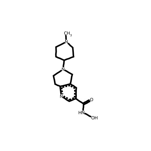 CN1CCC(N2CCc3ncc(C(=O)NO)cc3C2)CC1